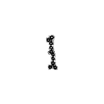 CS1(c2ccc(-c3ccc(C4CC(=O)c5cc(-c6ccc(-c7ccc(N(c8ccccc8)c8ccccc8)cc7)cc6)ccc5O4)cc3)cc2)c2ccccc2-c2ccccc21